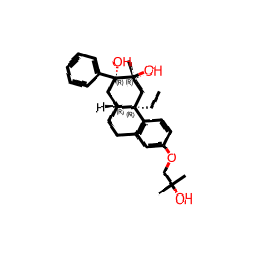 CC[C@@]12C[C@@](C)(O)[C@](O)(c3ccccc3)C[C@H]1CCc1cc(OCC(C)(C)O)ccc12